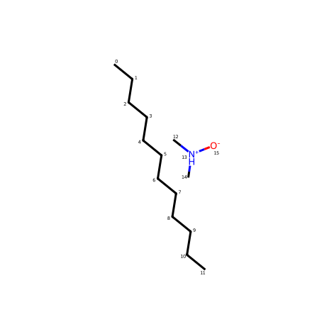 CCCCCCCCCCCC.C[NH+](C)[O-]